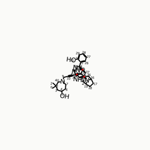 CC1(C)CC(O)CCN(CC#Cc2cc(N3C4CCC3CN(c3cc(-c5ccccc5O)nnc3N)C4)ccn2)C1